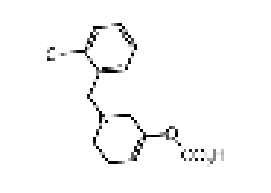 O=C(O)OC1=CCCN(Cc2ccccc2Cl)C1